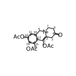 CC(=O)OC1=C2CC(=O)CCN2Cc2cc(OC(C)=O)cc(OC(C)=O)c21